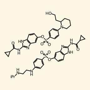 CC(C)NCCNc1ccc(S(=O)(=O)Oc2ccc3[nH]c(NC(=O)C4CC4)nc3c2)cc1.O=C(Nc1nc2cc(OS(=O)(=O)c3ccc(N4CCCCC4CCO)cc3)ccc2[nH]1)C1CC1